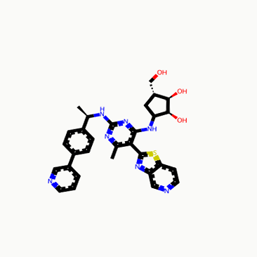 Cc1nc(N[C@H](C)c2ccc(-c3cccnc3)cc2)nc(NC2C[C@H](CO)[C@@H](O)[C@H]2O)c1-c1nc2cnccc2s1